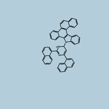 C1=C(c2cccc3ccccc23)N=C(c2cccc3ccccc23)NC1n1c2ccccc2c2c3c4ccccc4ccc3c3ccccc3c21